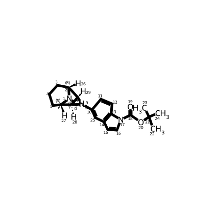 CN1[C@@H]2CCC[C@H]1[C@H]1[C@@H]2N1c1ccc2c(ccn2C(=O)OC(C)(C)C)c1